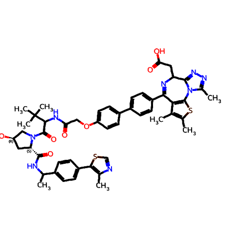 Cc1ncsc1-c1ccc(C(C)NC(=O)[C@@H]2C[C@@H](O)CN2C(=O)C(NC(=O)COc2ccc(-c3ccc(C4=NC(CC(=O)O)c5nnc(C)n5-c5sc(C)c(C)c54)cc3)cc2)C(C)(C)C)cc1